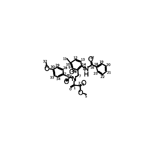 C=C(C(=O)OC)N(Cc1cc(C)ccc1NC(=O)c1ccccc1)S(=O)(=O)c1ccc(OC)cc1